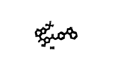 CN(c1ncnc2sc(CC(F)(F)F)cc12)[C@H]1C[C@@H](NCc2ccc(-n3cnc4ccccc43)cc2)C[C@H]1O.Cl